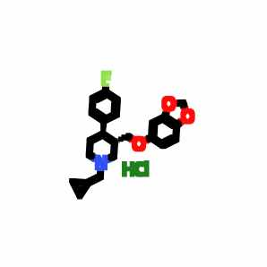 Cl.Fc1ccc([C@@H]2CCN(CC3CC3)C[C@H]2COc2ccc3c(c2)OCO3)cc1